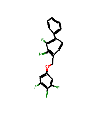 Fc1cc(OCc2ccc(-c3ccccc3)c(F)c2F)cc(F)c1F